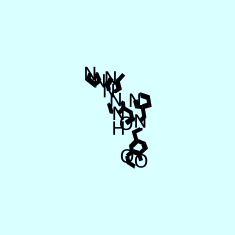 Cc1cc(N2CCNC(CC(=O)N(CCc3ccc4c(c3)OCCO4)Cc3cccnc3)C2)nc(-n2ccnc2)n1